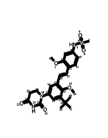 COc1cc(NS(C)(=O)=O)ccc1C=Cc1cc(N2CCC(=O)NC2=O)cc(C(C)(C)C)c1OC